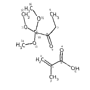 C=C(C)C(=O)O.CCC(=O)[Si](OC)(OC)OC